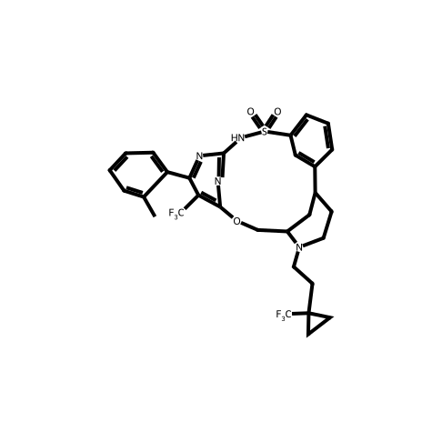 Cc1ccccc1-c1nc2nc(c1C(F)(F)F)OCC1CC(CCN1CCC1(C(F)(F)F)CC1)c1cccc(c1)S(=O)(=O)N2